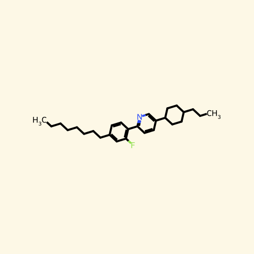 CCCCCCCCc1ccc(-c2ccc(C3CCC(CCC)CC3)cn2)c(F)c1